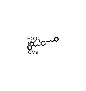 COc1ccc2nccc(CCC[C@@H]3CCN(CCCCc4ccccc4)C[C@@H]3CCC(=O)O)c2c1